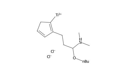 CCCCOC(CCC1=[C]([Ti+2])CC=C1)[SiH](C)C.[Cl-].[Cl-]